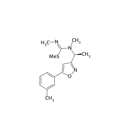 C/N=C(\SC)N(C)[C@@H](C)c1cc(-c2cccc(C)c2)on1